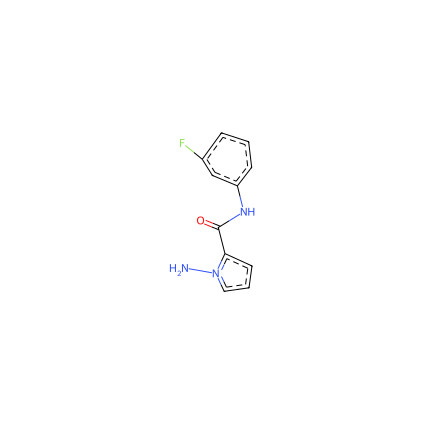 Nn1cccc1C(=O)Nc1cccc(F)c1